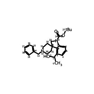 CC(O)c1cccc2c1C1(CCN(Cc3ccccc3)CC1)CN2C(=O)OC(C)(C)C